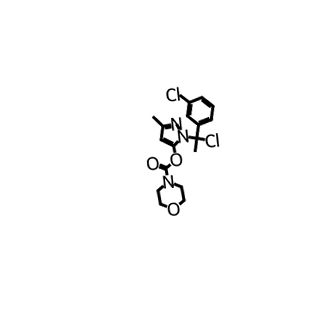 Cc1cc(OC(=O)N2CCOCC2)n(C(C)(Cl)c2cccc(Cl)c2)n1